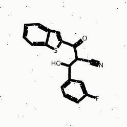 N#CC(C(=O)c1cc2ccccc2s1)C(O)c1cccc(F)c1